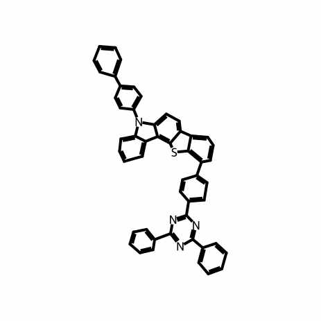 c1ccc(-c2ccc(-n3c4ccccc4c4c5sc6c(-c7ccc(-c8nc(-c9ccccc9)nc(-c9ccccc9)n8)cc7)cccc6c5ccc43)cc2)cc1